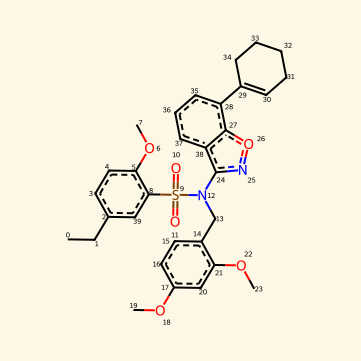 CCc1ccc(OC)c(S(=O)(=O)N(Cc2ccc(OC)cc2OC)c2noc3c(C4=CCCCC4)cccc23)c1